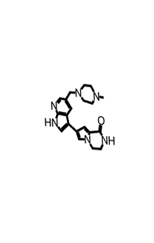 CN1CCN(Cc2cnc3[nH]cc(-c4cc5n(c4)CCNC5=O)c3c2)CC1